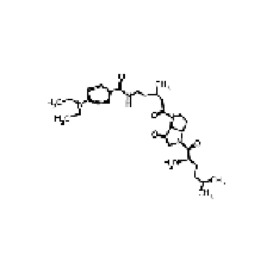 CCN(CC)c1ccc(C(=O)NCCC(C)CC(=O)N2CCC3C2C(=O)CN3C(=O)C(N)CCC(C)C)cc1